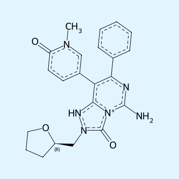 Cn1cc(-c2c(-c3ccccc3)nc(N)[n+]3c(=O)n(C[C@H]4CCCO4)[nH]c23)ccc1=O